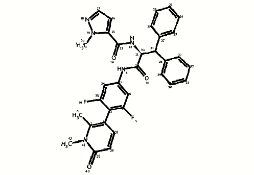 Cc1c(-c2c(F)cc(NC(=O)[C@@H](NC(=O)c3ccnn3C)C(c3ccccc3)c3ccccc3)cc2F)ccc(=O)n1C